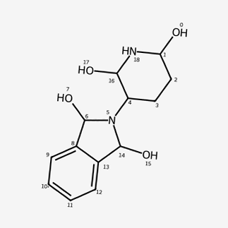 OC1CCC(N2C(O)c3c[c]ccc3C2O)C(O)N1